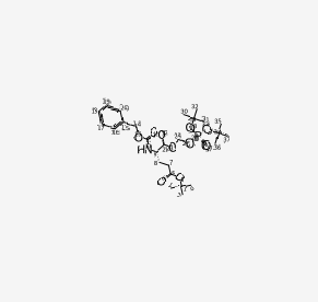 CC(C)(C)OC(=O)CC[C@H](NC(=O)OCc1ccccc1)C(=O)OCOP(=O)(OC(C)(C)C)OC(C)(C)C